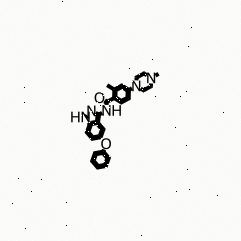 Cc1cc(N2CCN(C)CC2)ccc1C(=O)Nc1n[nH]c2ccc(Oc3ccccc3)cc12